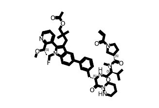 C=CC(=O)N1CC[C@H](C(=O)N(C)[C@H](C(=O)N[C@@H](Cc2cccc(-c3ccc4c(c3)c(CC(C)(C)COC(C)=O)c(-c3cccnc3[C@H](C)OC)n4CF)c2)C(=O)N2CCCCN2)C(C)C)C1